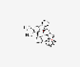 Cc1cc2c(c(-c3cccc(-c4ccccc4)c3-c3cccc4sc5ccccc5c34)c1C)Cc1ccccc1-2